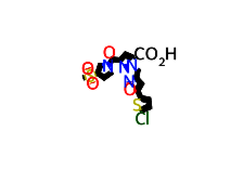 CS(=O)(=O)C1CCN(C(=O)c2cc(C(=O)O)n(Cc3cc(-c4ccc(Cl)s4)on3)n2)C1